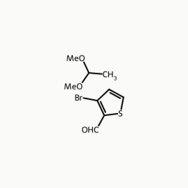 COC(C)OC.O=Cc1sccc1Br